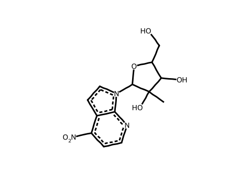 CC1(O)C(O)C(CO)OC1n1ccc2c([N+](=O)[O-])ccnc21